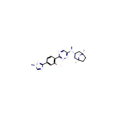 CN(c1cnc(-c2ccc(-c3ncn(C)n3)cc2O)nn1)[C@H]1C[C@]2(C)CC[C@](C)(C1)N2